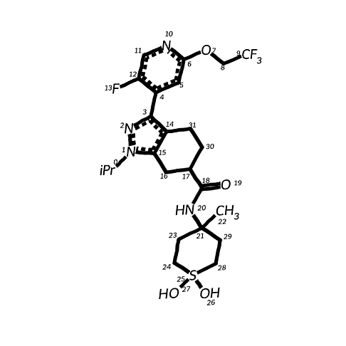 CC(C)n1nc(-c2cc(OCC(F)(F)F)ncc2F)c2c1CC(C(=O)NC1(C)CCS(O)(O)CC1)CC2